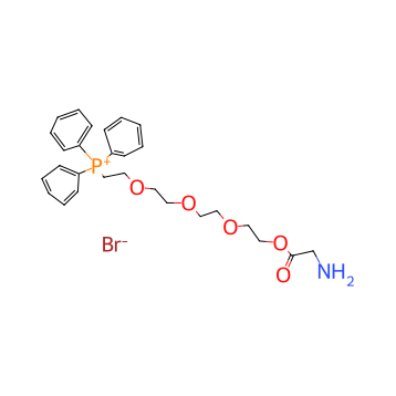 NCC(=O)OCCOCCOCCOCC[P+](c1ccccc1)(c1ccccc1)c1ccccc1.[Br-]